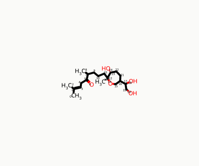 CC(C)=CCC(=O)C(C)CCC[C@]1(C)OCC(C(O)CO)CC[C@H]1O